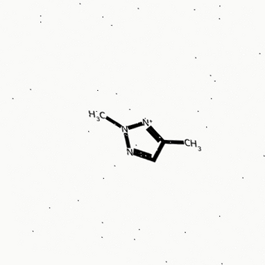 CC1=[N+]N(C)N=C1